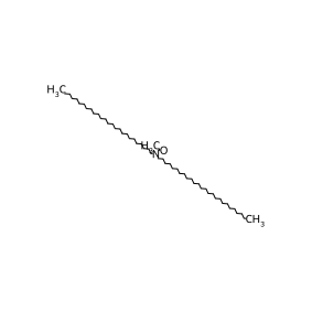 CCCCCCCCCCCCCCCCCCCCCCCCCCN(CCCCCCCCCCCCCCCCCCCCCCCCCC)C(C)=O